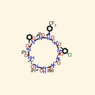 CC[C@H](C)[C@@H]1NC(=O)[C@H](CC(C)C)N(C)C(=O)C[C@@H](C)NC(=O)[C@H](C(C)C)N(C)C(=O)[C@H](Cc2ccccc2)N(C)C(=O)[C@H](CC(C)C)N(C)C(=O)[C@H](CCc2ccc(C(F)(F)F)cc2)NC(=O)CN(C)C(=O)[C@H](Cc2ccc(Cl)cc2)N(C)C(=O)CN(C)C(=O)CN(C)C1=O